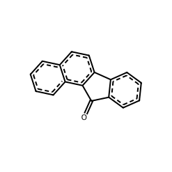 O=C1c2ccccc2-c2ccc3ccccc3c21